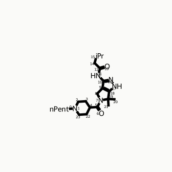 CCCCCN1CCC(C(=O)N2Cc3c(NC(=O)CC(C)C)n[nH]c3C2(C)C)CC1